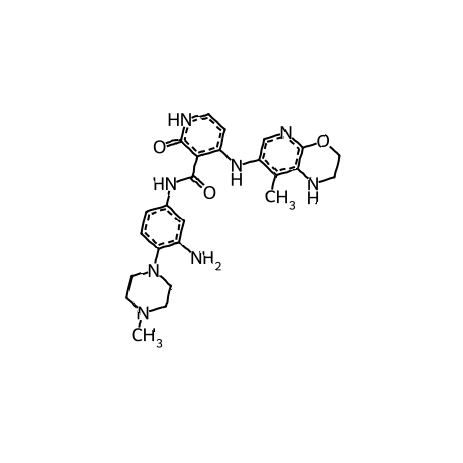 Cc1c(Nc2cc[nH]c(=O)c2C(=O)Nc2ccc(N3CCN(C)CC3)c(N)c2)cnc2c1NCCO2